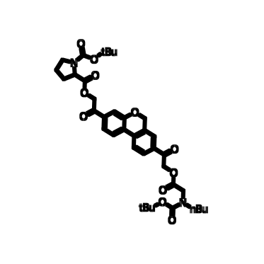 CCCCN(CC(=O)OCC(=O)c1ccc2c(c1)COc1cc(C(=O)COC(=O)C3CCCN3C(=O)OC(C)(C)C)ccc1-2)C(=O)OC(C)(C)C